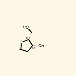 OC[C@H]1S[CH]C[C@H]1O